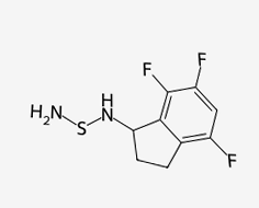 NSNC1CCc2c(F)cc(F)c(F)c21